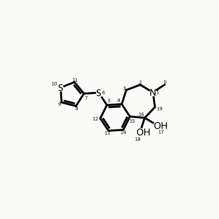 CN1CCc2c(Sc3ccsc3)cccc2C(O)(O)C1